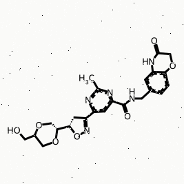 Cc1nc(C(=O)NCc2ccc3c(c2)NC(=O)CO3)cc(C2=NO[C@H]([C@H]3COC(CO)CO3)C2)n1